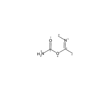 C/N=C(/C)OC(N)=O